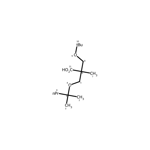 CCCC(C)(C)OCC(C)(COC(C)(C)C)C(=O)O